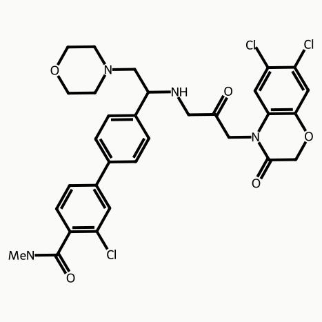 CNC(=O)c1ccc(-c2ccc(C(CN3CCOCC3)NCC(=O)CN3C(=O)COc4cc(Cl)c(Cl)cc43)cc2)cc1Cl